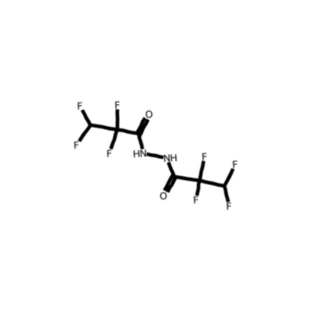 O=C(NNC(=O)C(F)(F)C(F)F)C(F)(F)C(F)F